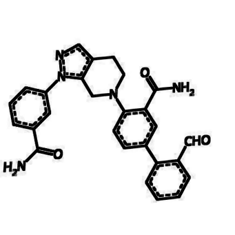 NC(=O)c1cccc(-n2ncc3c2CN(c2ccc(-c4ccccc4C=O)cc2C(N)=O)CC3)c1